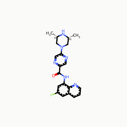 C[C@@H]1CN(c2cnc(C(=O)Nc3cc(F)cc4cccnc34)cn2)C[C@H](C)N1